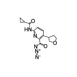 [N-]=[N+]=NC(=O)c1nc(NC(=O)C2CC2)ccc1C1CCOC1